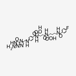 Nc1nc2ncc(CNc3ccc(C(=O)NC(CCC(=O)N[C@@H](CCCCNC(=O)c4ccc(F)cc4)C(=O)O)C(=O)O)cc3)nc2c(=O)[nH]1